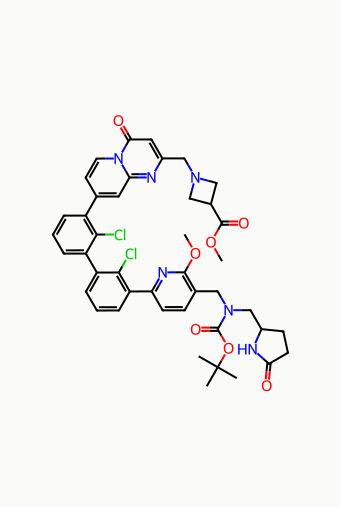 COC(=O)C1CN(Cc2cc(=O)n3ccc(-c4cccc(-c5cccc(-c6ccc(CN(CC7CCC(=O)N7)C(=O)OC(C)(C)C)c(OC)n6)c5Cl)c4Cl)cc3n2)C1